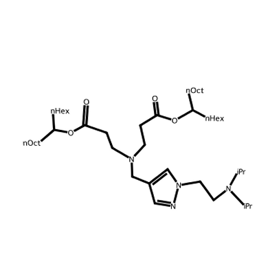 CCCCCCCCC(CCCCCC)OC(=O)CCN(CCC(=O)OC(CCCCCC)CCCCCCCC)Cc1cnn(CCN(C(C)C)C(C)C)c1